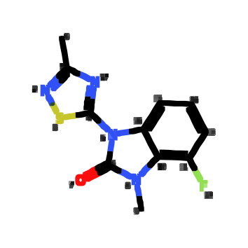 Cc1nsc(-n2c(=O)n(C)c3c(F)cccc32)n1